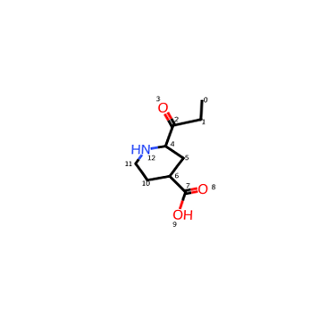 CCC(=O)C1CC(C(=O)O)CCN1